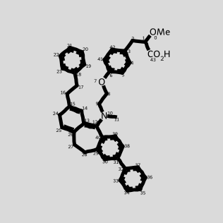 COC(Cc1ccc(OCCN(C)C2=C3C=C(CCc4ccccc4)CC=C3CCc3cc(-c4ccccc4)ccc32)cc1)C(=O)O